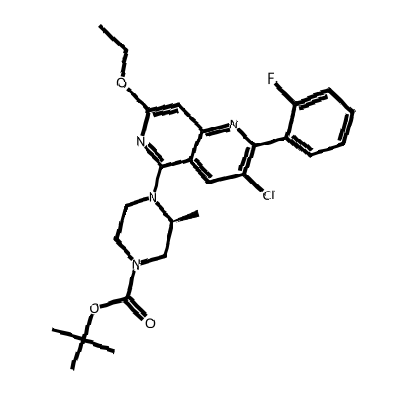 CCOc1cc2nc(-c3ccccc3F)c(Cl)cc2c(N2CCN(C(=O)OC(C)(C)C)C[C@@H]2C)n1